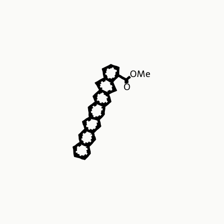 COC(=O)c1cccc2cc3cc4cc5cc6cc7ccccc7cc6cc5cc4cc3cc12